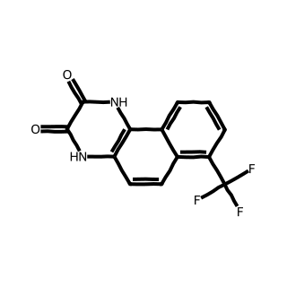 O=c1[nH]c2ccc3c(C(F)(F)F)cccc3c2[nH]c1=O